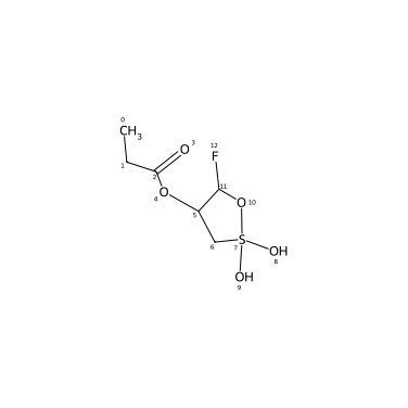 CCC(=O)OC1CS(O)(O)OC1F